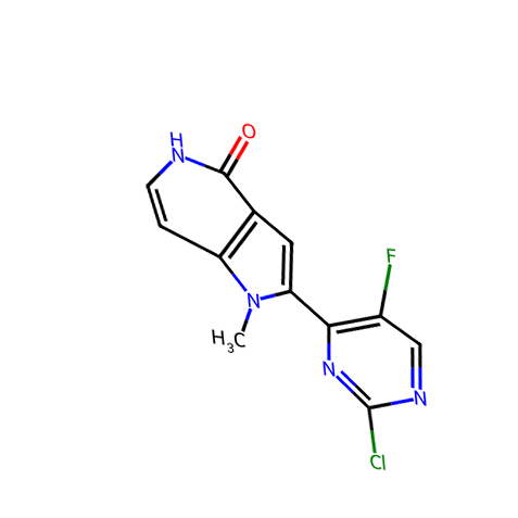 Cn1c(-c2nc(Cl)ncc2F)cc2c(=O)[nH]ccc21